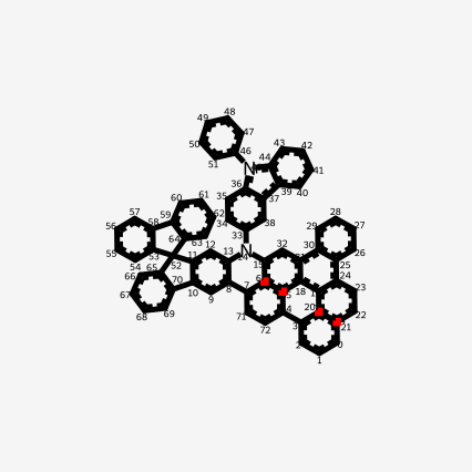 c1ccc(-c2ccc(-c3cc4c(cc3N(c3ccc5c6ccccc6c6ccccc6c5c3)c3ccc5c(c3)c3ccccc3n5-c3ccccc3)C3(c5ccccc5-c5ccccc53)c3ccccc3-4)cc2)cc1